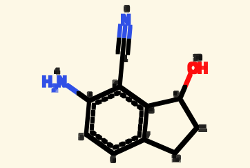 N#Cc1c(N)ccc2c1C(O)CC2